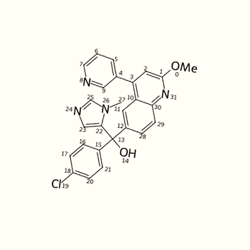 COc1cc(-c2cccnc2)c2cc(C(O)(c3ccc(Cl)cc3)c3cncn3C)ccc2n1